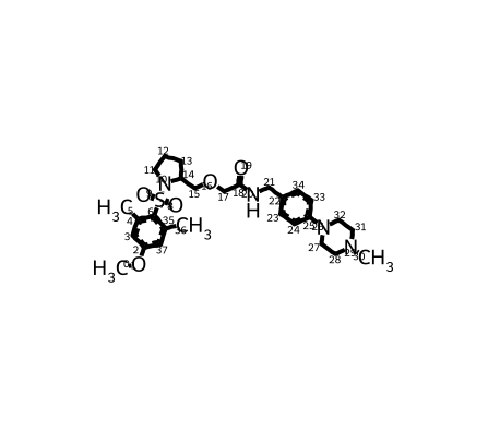 COc1cc(C)c(S(=O)(=O)N2CCCC2COCC(=O)NCc2ccc(N3CCN(C)CC3)cc2)c(C)c1